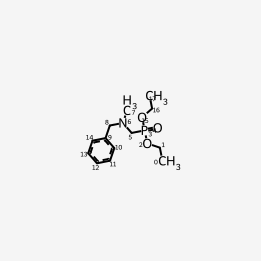 CCOP(=O)(CN(C)Cc1ccccc1)OCC